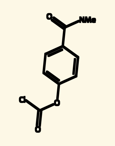 CNC(=O)c1ccc(OC(=O)Cl)cc1